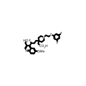 COc1ccc2ncc(CO)c(C(F)CCC3(CC(=O)O)CCN(CCOc4cc(F)cc(F)c4)CC3)c2c1